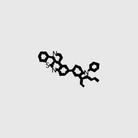 C=CC=c1/c(=C\C)c2cc(-c3ccc4nc5c6c(nccc6c4c3)-c3ccccc3S5)ccc2n1-c1ccccc1